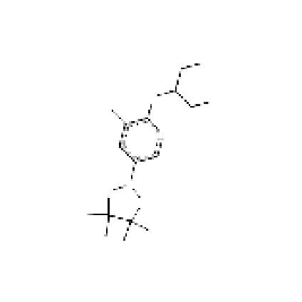 CC1(C)OB(c2cnc(OC(CF)CF)c(Cl)c2)OC1(C)C